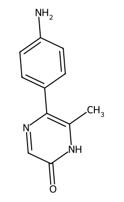 Cc1[nH]c(=O)cnc1-c1ccc(N)cc1